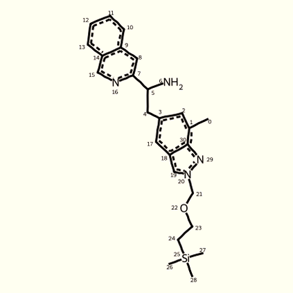 Cc1cc(CC(N)c2cc3ccccc3cn2)cc2cn(COCC[Si](C)(C)C)nc12